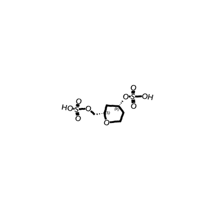 O=S(=O)(O)OC[C@@H]1C[C@H](OS(=O)(=O)O)CCO1